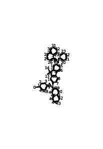 Cc1ccc(N(c2ccc3c(c2)C(C)(C)c2cc(N(c4ccccc4)c4cccc5ccccc45)ccc2-3)c2ccc3ccccc3c2)cc1